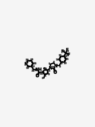 Cc1cc(N2CCN(Cc3ccc(C(F)(F)F)cc3)C2=O)sc1C(=O)NCc1cccnc1